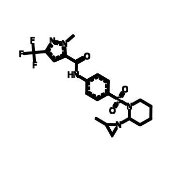 CC1CN1C1CCCCN1S(=O)(=O)c1ccc(NC(=O)c2cc(C(F)(F)F)nn2C)cc1